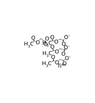 CC(=O)OCC(=O)[O-].CC(=O)OCC(=O)[O-].CC(=O)OCC(=O)[O-].CC(=O)OCC(=O)[O-].[Ti+4]